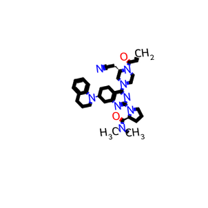 C=CC(=O)N1CCN(c2nc(N3CCC[C@H]3C(=O)N(C)C)nc3c2CC[C@@H](N2CCCc4ccccc42)C3)C[C@@H]1CC#N